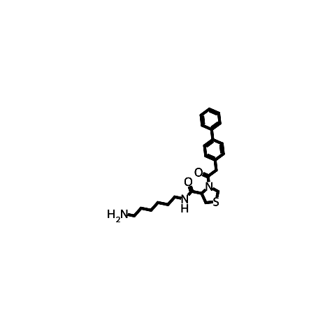 NCCCCCCNC(=O)C1CSCN1C(=O)Cc1ccc(-c2ccccc2)cc1